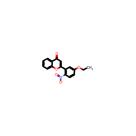 CCOc1ccc([N+](=O)[O-])c(-c2cc(=O)c3ccccc3o2)c1